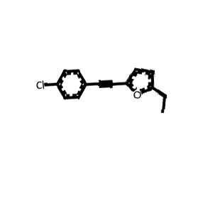 CCc1ccc(C#Cc2ccc(Cl)cc2)o1